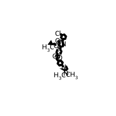 CN(C)C1CCN(c2ccc(CS(=O)(=O)N3CCN(c4cnn(-c5cccc(Cl)c5)c(=O)c4OCC4(C)CC4)CC3)cc2)C1